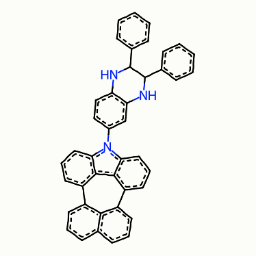 c1ccc(C2Nc3ccc(-n4c5cccc6c5c5c(cccc54)-c4cccc5cccc-6c45)cc3NC2c2ccccc2)cc1